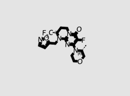 C[C@@H]1COCCN1c1nc2n(c(=O)c1F)CC[C@@H](C(F)(F)F)N2Cc1ccno1